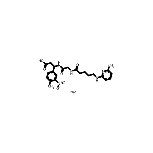 Cc1cccc(NCCCCC(=O)NCC(=O)NC(CC(=O)O)c2ccc(C)c([N+](=O)[O-])c2)n1.[Na+]